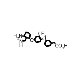 N=Cc1c(N)cccc1Oc1ccc(Oc2cccc(CC(=O)O)c2)c(C(F)(F)F)c1